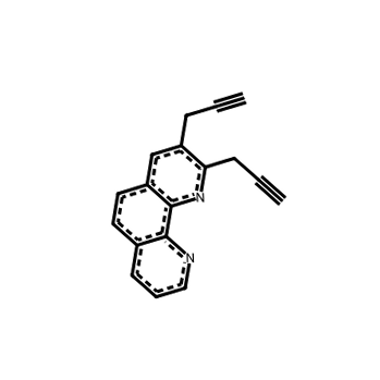 C#CCc1cc2ccc3cccnc3c2nc1CC#C